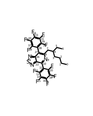 CCCCC(CC)Cc1nc(-c2c(F)c(F)c(F)c(F)c2F)c2nsnc2c1-c1c(F)c(F)c(F)c(F)c1F